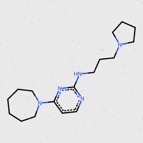 c1cc(N2CCCCCC2)nc(NCCCN2CCCC2)n1